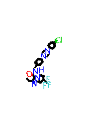 CCc1nc2cc(C(F)(F)F)ccn2c1C(=O)NCc1ccc(N2CCN(c3ccc(Cl)cc3)CC2)cc1